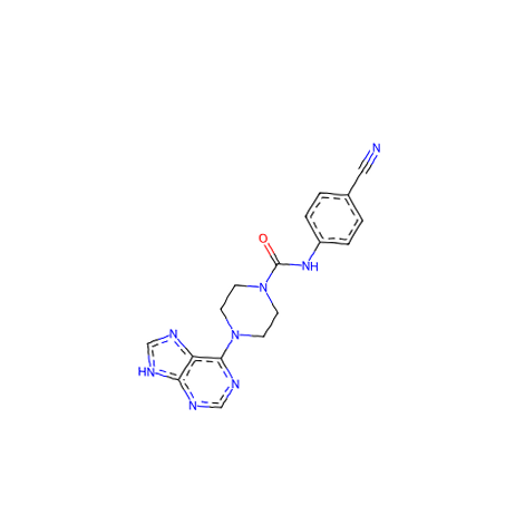 N#Cc1ccc(NC(=O)N2CCN(c3ncnc4[nH]cnc34)CC2)cc1